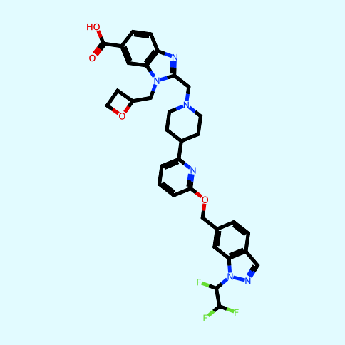 O=C(O)c1ccc2nc(CN3CCC(c4cccc(OCc5ccc6cnn(C(F)C(F)F)c6c5)n4)CC3)n(CC3CCO3)c2c1